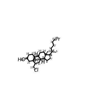 CC(C)CCC[C@@H](C)[C@H]1CC[C@H]2[C@@H]3CC(CCl)C4=C(CC[C@H](O)C4)[C@H]3CC[C@]12C